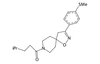 CSc1ccc(C2=NOC3(CCN(C(=O)CCC(C)C)CC3)C2)cc1